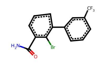 NC(=O)c1cccc(-c2cccc(C(F)(F)F)c2)c1Br